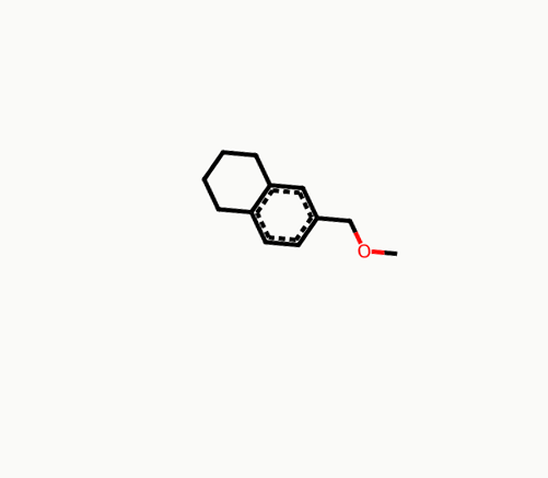 COCc1ccc2c(c1)CCCC2